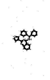 c1ccc(C(Nc2nc(-c3ccsc3)nc3ccccc23)c2ccccc2)cc1